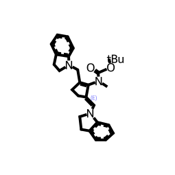 CN(C(=O)OC(C)(C)C)C1=C(CN2CCc3ccccc32)CC/C1=C\N1CCc2ccccc21